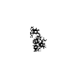 CCCC(COCc1ccc(OC)c(OC)c1)N1C(=O)CO[C@H](c2cccc(Cl)c2)[C@H]1c1ccc(Cl)cc1